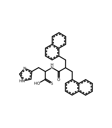 O=C(NC(Cc1c[nH]cn1)C(O)=S)C(Cc1cccc2ccccc12)Cc1cccc2ccccc12